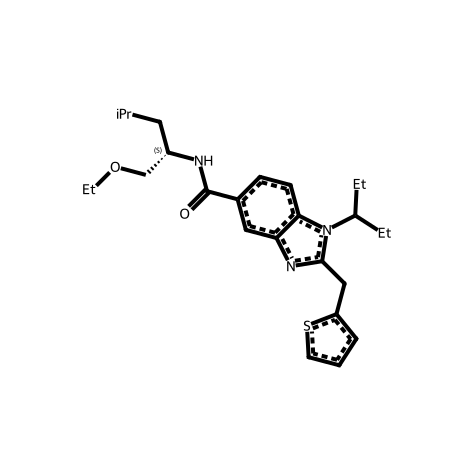 CCOC[C@H](CC(C)C)NC(=O)c1ccc2c(c1)nc(Cc1cccs1)n2C(CC)CC